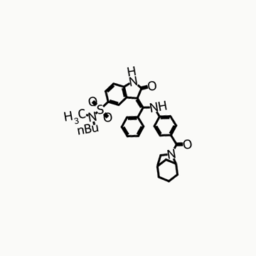 CCCCN(C)S(=O)(=O)c1ccc2c(c1)/C(=C(/Nc1ccc(C(=O)N3CC4CCCC3C4)cc1)c1ccccc1)C(=O)N2